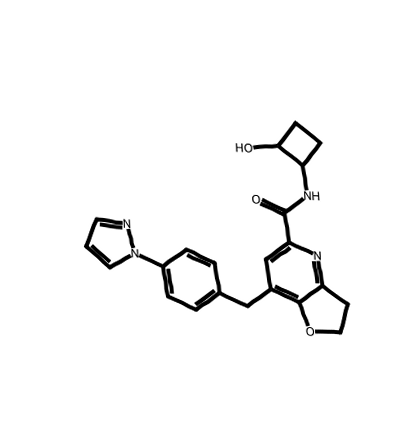 O=C(NC1CCC1O)c1cc(Cc2ccc(-n3cccn3)cc2)c2c(n1)CCO2